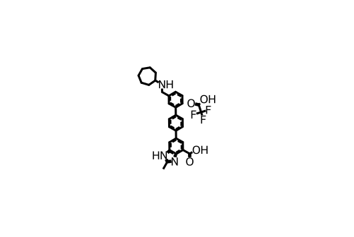 Cc1nc2c(C(=O)O)cc(-c3ccc(-c4cccc(CNC5CCCCCC5)c4)cc3)cc2[nH]1.O=C(O)C(F)(F)F